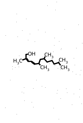 CC(=CC=CC(C)CC(C)CCCC(C)C)CO